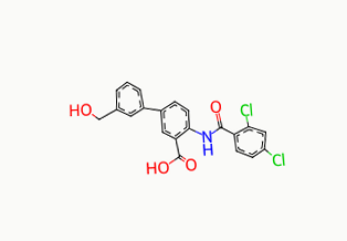 O=C(Nc1ccc(-c2cccc(CO)c2)cc1C(=O)O)c1ccc(Cl)cc1Cl